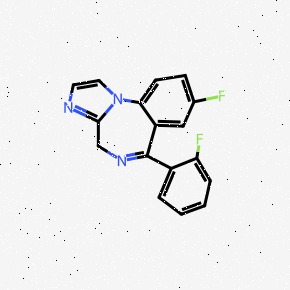 Fc1ccc2c(c1)C(c1ccccc1F)=NCc1nccn1-2